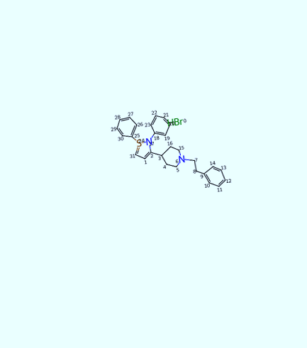 Br.C1=C(C2CCN(CCc3ccccc3)CC2)N(c2ccccc2)S(c2ccccc2)=C1